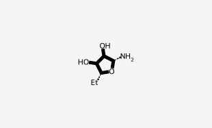 CC[C@H]1O[C@@H](N)C(O)C1O